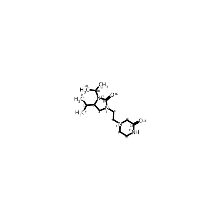 CC(C)C1CN(CCN2CCNC(=O)C2)C(=O)N1C(C)C